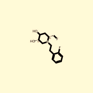 OC1C[C@H](CF)N(CCc2ccccc2F)C[C@@H]1O